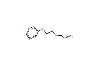 C=CCCCCOc1cccnc1